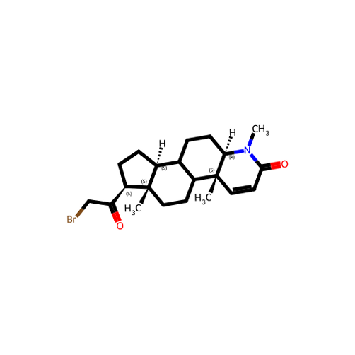 CN1C(=O)C=C[C@]2(C)C3CC[C@]4(C)[C@@H](C(=O)CBr)CC[C@H]4C3CC[C@@H]12